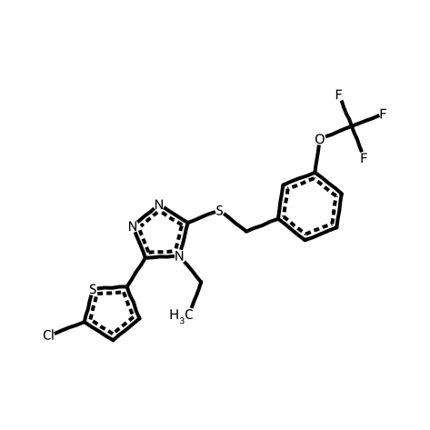 CCn1c(SCc2cccc(OC(F)(F)F)c2)nnc1-c1ccc(Cl)s1